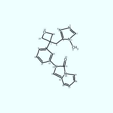 Cn1cnnc1CC1(c2cccc(-n3cc4ccccn4c3=O)c2)COC1